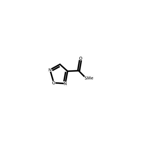 [CH2]SC(=O)c1cnon1